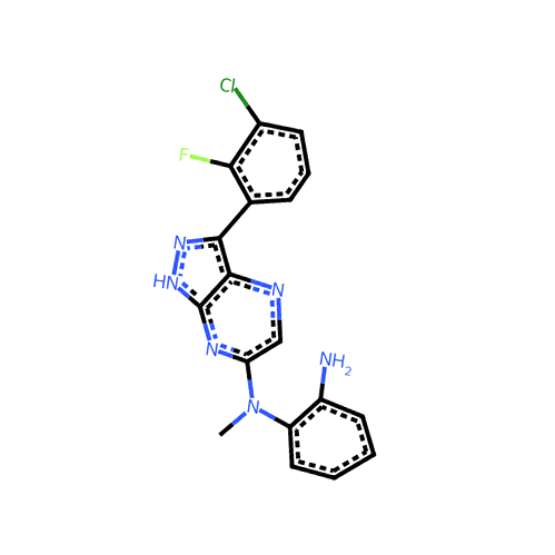 CN(c1cnc2c(-c3cccc(Cl)c3F)n[nH]c2n1)c1ccccc1N